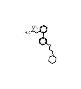 CN(C)Cc1ccccc1-c1cccc(OCCN2CCCCC2)c1